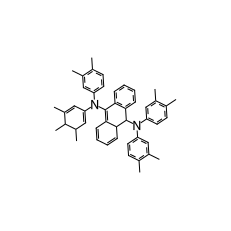 CC1=CC(N(C2=C3C=CC=CC3C(N(c3ccc(C)c(C)c3)c3ccc(C)c(C)c3)c3ccccc32)c2ccc(C)c(C)c2)=CC(C)C1C